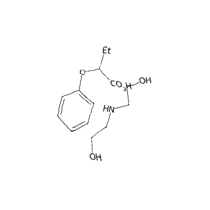 CCC(Oc1ccccc1)C(=O)O.OCCNCCO